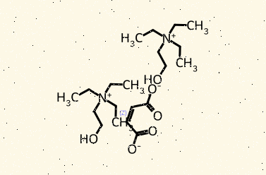 CC[N+](CC)(CC)CCO.CC[N+](CC)(CC)CCO.O=C([O-])/C=C\C(=O)[O-]